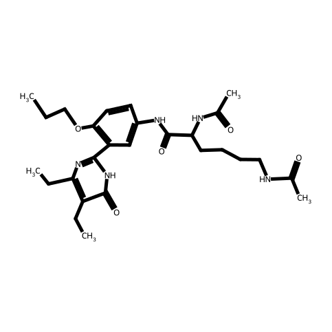 CCCOc1ccc(NC(=O)C(CCCCNC(C)=O)NC(C)=O)cc1-c1nc(CC)c(CC)c(=O)[nH]1